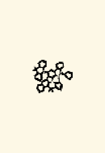 CC1(C)c2ccccc2N(c2cc3c4c5c2c2cc6ccccc6c6c2n5-c2c(cccc2C6(C)C)B4N(c2ccccc2)c2ccccc2-3)c2ccccc21